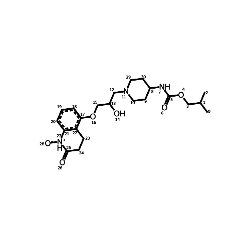 CC(C)COC(=O)NC1CCN(CC(O)COc2cccc3c2CCC(=O)[NH+]3[O-])CC1